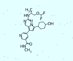 CNC(=O)c1cncc(-c2cc(C3CCC(O)CC3)n3nc(N[C@@H](C)COC(F)F)ncc23)c1